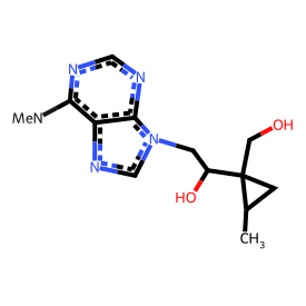 CNc1ncnc2c1ncn2CC(O)C1(CO)CC1C